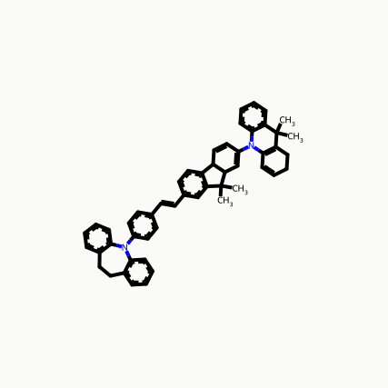 CC1(C)C2=C(C=CCC2)N(C2=CC3C(C=C2)c2ccc(/C=C/c4ccc(N5c6ccccc6CCc6ccccc65)cc4)cc2C3(C)C)c2ccccc21